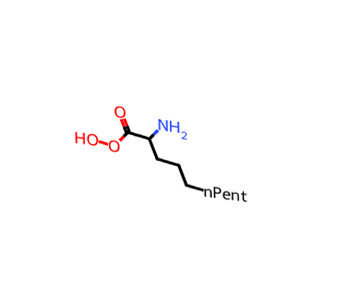 CCCCCCCCC(N)C(=O)OO